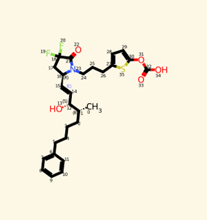 C[C@H](CCCCc1ccccc1)[C@H](O)/C=C/[C@H]1CC(F)(F)C(=O)N1CCCc1ccc(OC(=O)O)s1